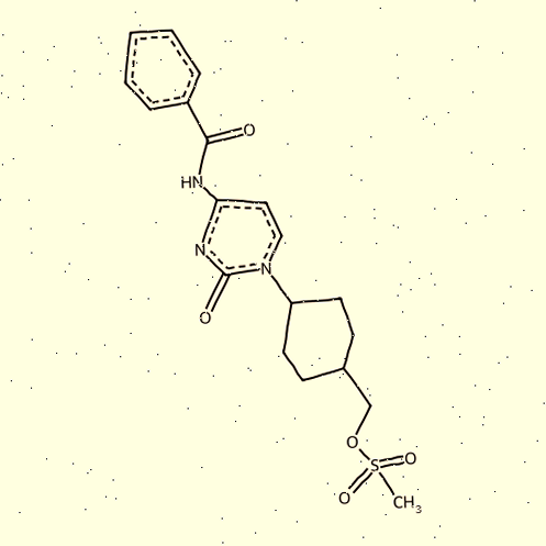 CS(=O)(=O)OCC1CCC(n2ccc(NC(=O)c3ccccc3)nc2=O)CC1